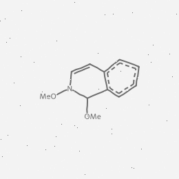 COC1c2ccccc2C=CN1OC